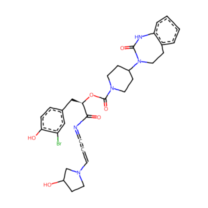 O=C(N=C=C=CN1CCC(O)C1)[C@@H](Cc1ccc(O)c(Br)c1)OC(=O)N1CCC(N2CCc3ccccc3NC2=O)CC1